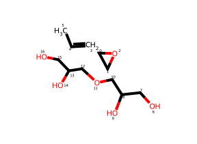 C1CO1.C=CC.OCC(O)COCC(O)CO